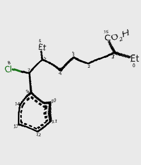 CCC(CCCC(CC)C(Cl)c1ccccc1)C(=O)O